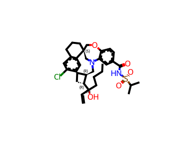 C=C[C@@](O)(CCCC)[C@@H]1CC[C@H]1CN1C[C@@]2(CCCc3cc(Cl)ccc32)COc2ccc(C(=O)NS(=O)(=O)C(C)C)cc21